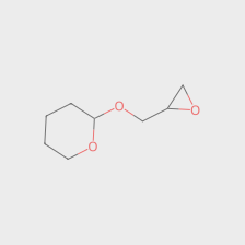 C1CCC(OCC2CO2)OC1